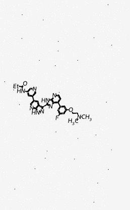 CCC(=O)Nc1cncc(-c2cnc3[nH]nc(-c4nc5c(-c6cc(F)cc(OCCN(C)C)c6)ccnc5[nH]4)c3c2)c1